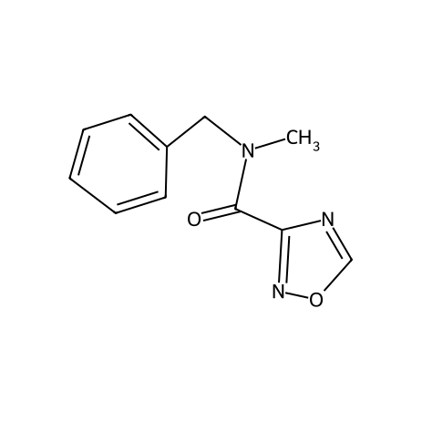 CN(Cc1ccccc1)C(=O)c1ncon1